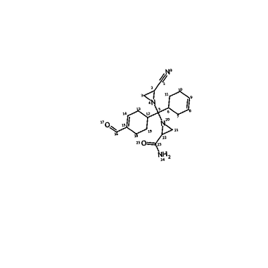 N#CC1CN1C(C1CC=CCC1)(C1CC=C(C=O)CC1)N1CC1C(N)=O